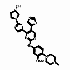 COc1cc(Nc2ncc(-c3cnco3)c(-c3cnc(N4CC[C@H](O)C4)s3)n2)ccc1N1CCN(C)CC1